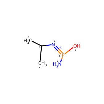 CC(C)/N=[P](\N)O